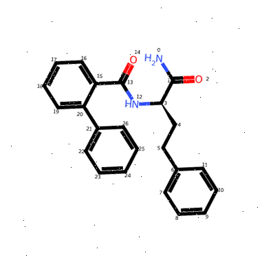 NC(=O)[C@@H](CCc1ccccc1)NC(=O)c1ccccc1-c1ccccc1